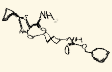 NC(=O)c1sc(C2CC2)nc1OC1CC2(CC(NC(=O)OCc3ccccc3)C2)C1